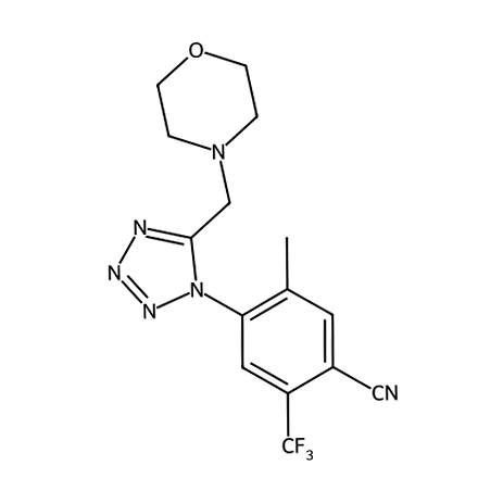 Cc1cc(C#N)c(C(F)(F)F)cc1-n1nnnc1CN1CCOCC1